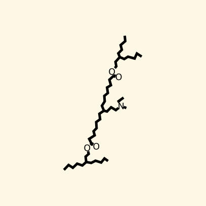 CCCCCC(CCCCC)CCOC(=O)CCCCCCCC(CCCCCCCC(=O)OCCC(CCCCC)CCCCC)CCCN(C)CC